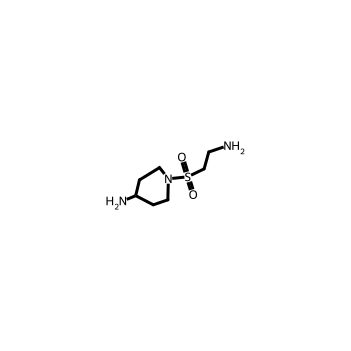 NCCS(=O)(=O)N1CCC(N)CC1